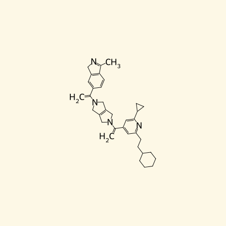 C=C(c1cc(CCC2CCCCC2)nc(C2CC2)c1)N1CC2=C(C1)CN(C(=C)c1ccc3c(c1)CN=C3C)C2